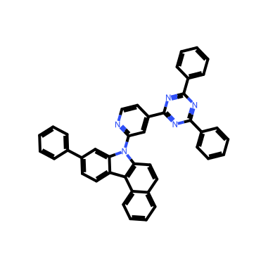 c1ccc(-c2ccc3c4c5ccccc5ccc4n(-c4cc(-c5nc(-c6ccccc6)nc(-c6ccccc6)n5)ccn4)c3c2)cc1